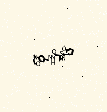 COc1ccccc1-c1nc(C)c(C(=O)N/N=C/c2ccc3c(c2)OCCN3C)s1